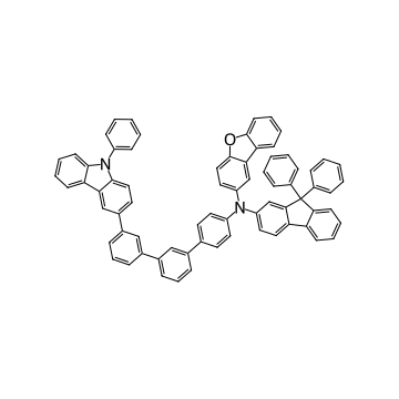 c1ccc(-n2c3ccccc3c3cc(-c4cccc(-c5cccc(-c6ccc(N(c7ccc8c(c7)C(c7ccccc7)(c7ccccc7)c7ccccc7-8)c7ccc8oc9ccccc9c8c7)cc6)c5)c4)ccc32)cc1